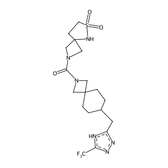 O=C(N1CC2(CCC(Cc3nnc(C(F)(F)F)[nH]3)CC2)C1)N1CC2(CCS(=O)(=O)N2)C1